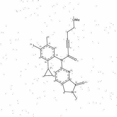 COCCC#CC(=O)N(c1ccc2c(n1)C(=O)N(C)C2)c1cc(C)c(I)cc1C1CC1